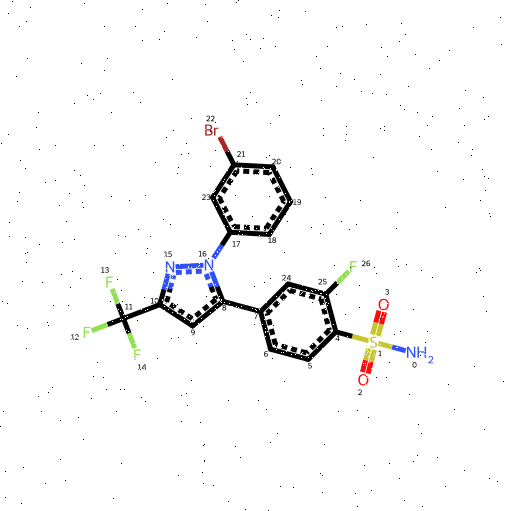 NS(=O)(=O)c1ccc(-c2cc(C(F)(F)F)nn2-c2cccc(Br)c2)cc1F